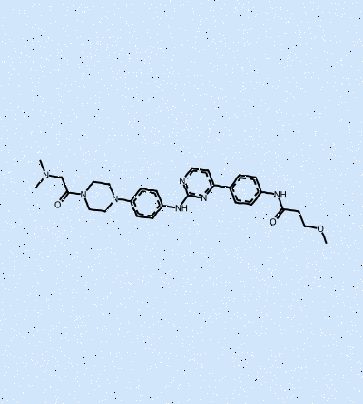 COCCC(=O)Nc1ccc(-c2ccnc(Nc3ccc(N4CCN(C(=O)CN(C)C)CC4)cc3)n2)cc1